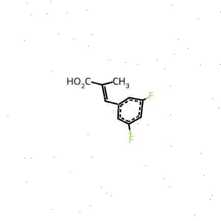 CC(=Cc1cc(F)cc(F)c1)C(=O)O